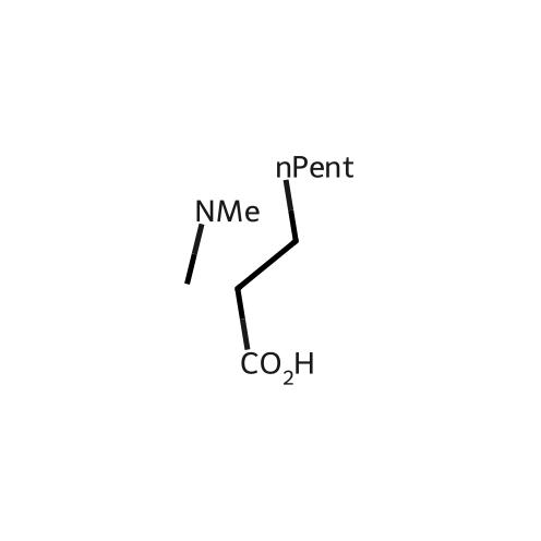 CCCCCCCC(=O)O.CNC